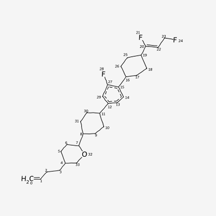 C=CCCC1CCC(C2CCC(c3ccc(C4CCC(/C(F)=C/CF)CC4)c(F)c3)CC2)OC1